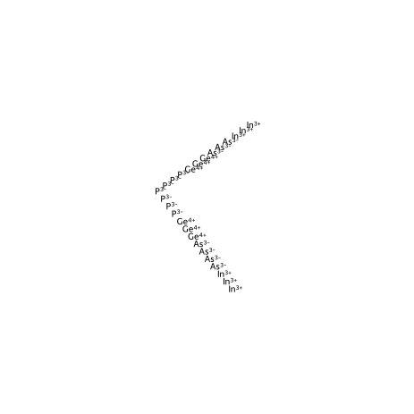 [As-3].[As-3].[As-3].[As-3].[As-3].[As-3].[As-3].[Ge+4].[Ge+4].[Ge+4].[Ge+4].[Ge+4].[Ge+4].[In+3].[In+3].[In+3].[In+3].[In+3].[In+3].[P-3].[P-3].[P-3].[P-3].[P-3].[P-3].[P-3]